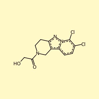 O=C(CO)N1CCc2nn3c(Cl)c(Cl)ccc3c2C1